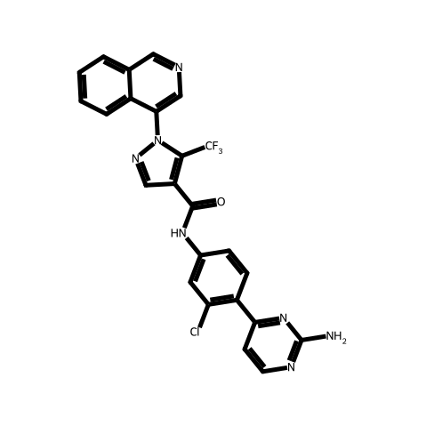 Nc1nccc(-c2ccc(NC(=O)c3cnn(-c4cncc5ccccc45)c3C(F)(F)F)cc2Cl)n1